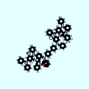 c1ccc(N(c2ccc(-c3ccc(N(c4ccccc4)c4ccc5c6c4c4c(c7ccccc7n4-c4ccccc4)n6-c4cc(N(c6ccccc6)c6ccccc6)cc6c4B5c4ccccc4O6)cc3)cc2)c2cc3c4c(c2)-n2c5c(ccc(N(c6ccccc6)c6ccccc6)c5c5sc6ccccc6c52)B4c2ccccc2O3)cc1